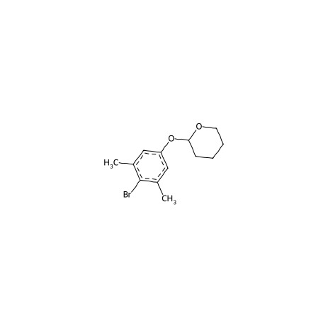 Cc1cc(OC2CCCCO2)cc(C)c1Br